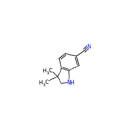 CC1(C)CNc2cc(C#N)ccc21